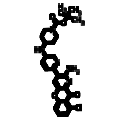 CC(C)(C)OC(=O)N1CCC(Nc2ccc(-c3cc4oc5cccc(Cl)c5c(=O)c4nc3N)nc2)CC1